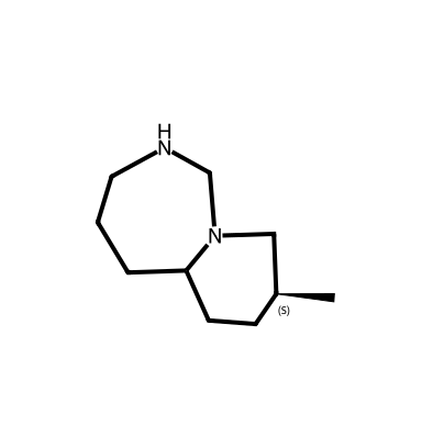 C[C@H]1CCC2CCCNCN2C1